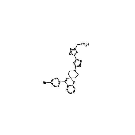 O=C(O)Cn1nnc(-c2cnc(N3CCC4(C=C(c5ccc(Br)cc5)c5ccccc5O4)CC3)s2)n1